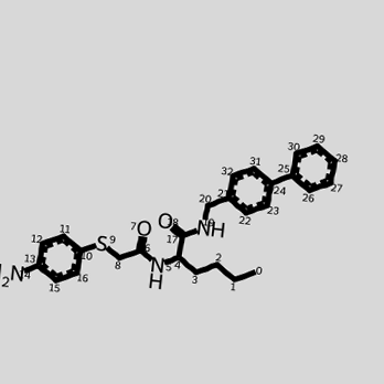 CCCCC(NC(=O)CSc1ccc(N)cc1)C(=O)NCc1ccc(-c2ccccc2)cc1